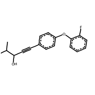 CC(C)C(O)C#Cc1ccc(Oc2ccccc2F)cc1